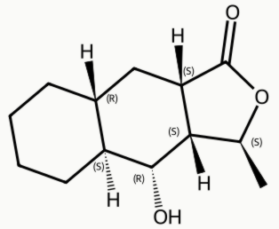 C[C@@H]1OC(=O)[C@H]2C[C@H]3CCCC[C@@H]3[C@@H](O)[C@@H]12